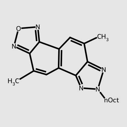 CCCCCCCCn1nc2c(C)cc3c(cc(C)c4nonc43)c2n1